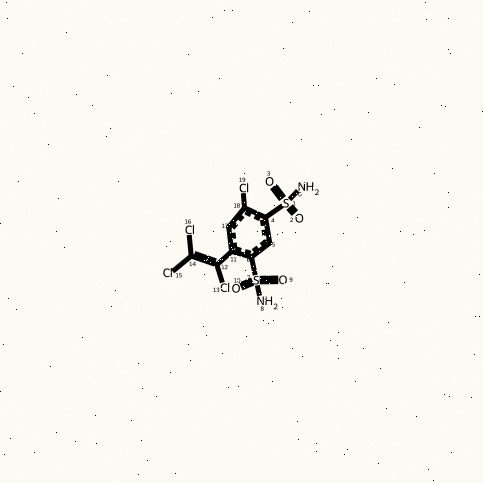 NS(=O)(=O)c1cc(S(N)(=O)=O)c(C(Cl)=C(Cl)Cl)cc1Cl